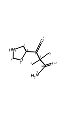 CC(C)(C(=O)C1CNCO1)C(N)=S